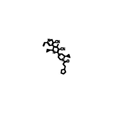 C=Cc1cc(-c2c(C3CC3)nc(N3CCN(C(=O)CCC4CCCC4)C(C4CC4)C3)c(C#N)c2C)c(C#N)cn1